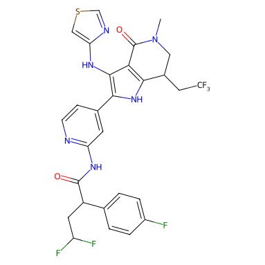 CN1CC(CC(F)(F)F)c2[nH]c(-c3ccnc(NC(=O)C(CC(F)F)c4ccc(F)cc4)c3)c(Nc3cscn3)c2C1=O